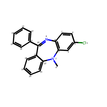 CN1c2cc(Cl)ccc2N=C(c2ccccc2)c2ccccc21